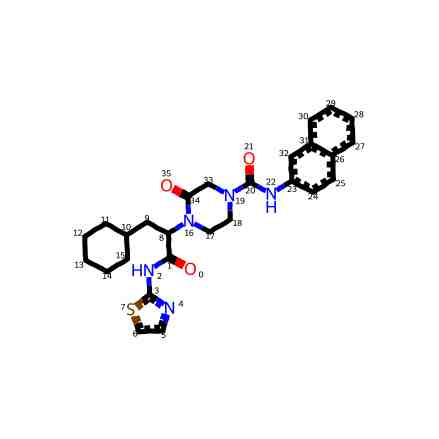 O=C(Nc1nccs1)C(CC1CCCCC1)N1CCN(C(=O)Nc2ccc3ccccc3c2)CC1=O